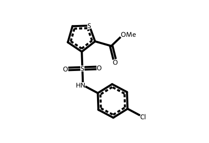 COC(=O)c1sccc1S(=O)(=O)Nc1ccc(Cl)cc1